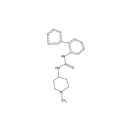 CN1CCC(NC(=O)Nc2ccccc2-c2ccccc2)CC1